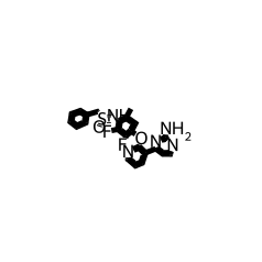 Cc1cc(Oc2ncccc2-c2ccnc(N)n2)c(F)c(F)c1N[S+]([O-])Cc1ccccc1